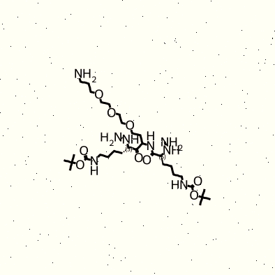 CC(C)(C)OC(=O)NCCCC[C@H](NN)C(=O)NC(CCOCCOCCOCCCN)C(=O)[C@H](CCCCNC(=O)OC(C)(C)C)NN